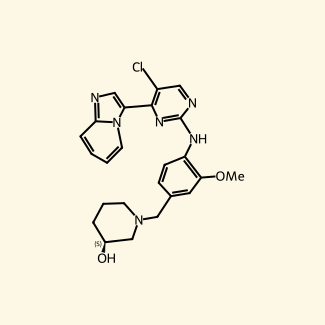 COc1cc(CN2CCC[C@H](O)C2)ccc1Nc1ncc(Cl)c(-c2cnc3ccccn23)n1